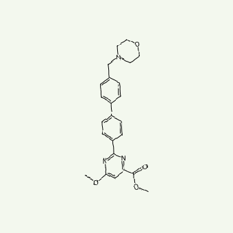 COC(=O)c1cc(OC)nc(-c2ccc(-c3ccc(CN4CCOCC4)cc3)cc2)n1